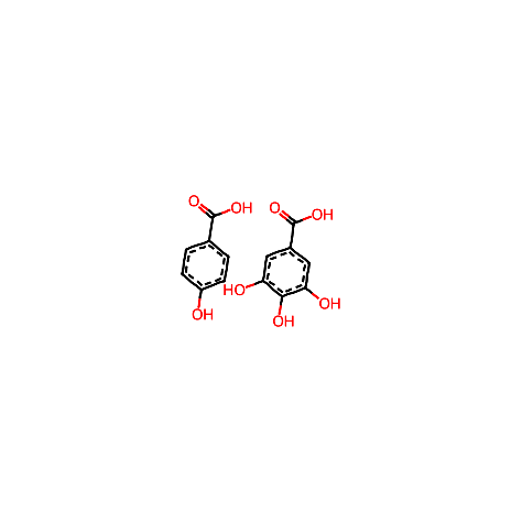 O=C(O)c1cc(O)c(O)c(O)c1.O=C(O)c1ccc(O)cc1